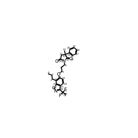 CCCc1c(OCCCN2C(=O)CC(C)(c3ccccc3)C2=O)ccc2c(C(F)(F)F)noc12